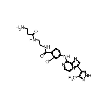 NCCC(=O)NCCNC(=O)c1ccc(Nc2nccn3c(-c4c[nH]nc4C(F)(F)F)cnc23)cc1Cl